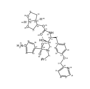 CC(C)CN(C[C@@H](O)[C@H](Cc1ccc(OCc2ccccn2)cc1)NC(=O)OC1CO[C@H]2OCC[C@@H]12)S(=O)(=O)c1ccc(N)cc1